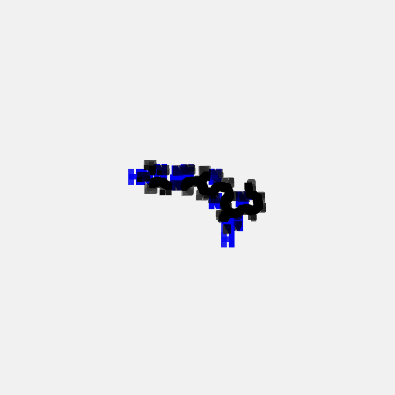 Cc1cccc(-c2n[nH]cc2-c2ccc3ncc(-c4cn(Cc5c[nH]cn5)nn4)cc3n2)n1